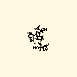 Cc1cc(C(C)(O)C#Cc2ccc3c(C(C)(O)C4CC4)nn(-c4ccnc(N)n4)c3c2)no1